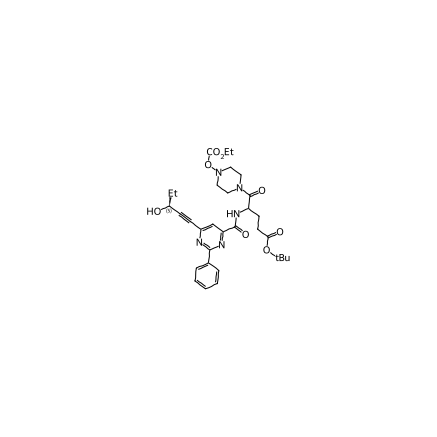 CCOC(=O)ON1CCN(C(=O)C(CCC(=O)OC(C)(C)C)NC(=O)c2cc(C#C[C@@H](O)CC)nc(-c3ccccc3)n2)CC1